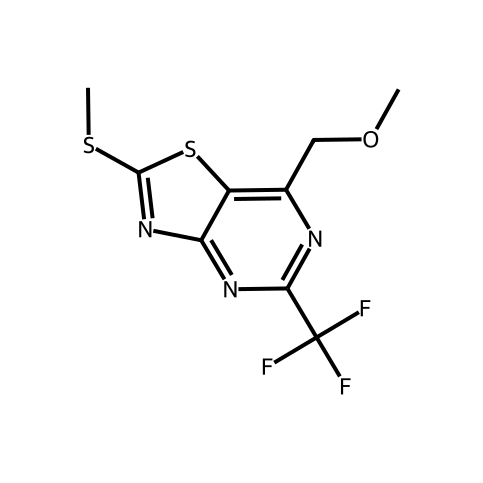 COCc1nc(C(F)(F)F)nc2nc(SC)sc12